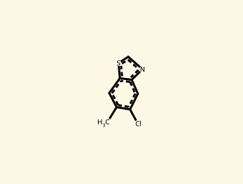 Cc1cc2scnc2cc1Cl